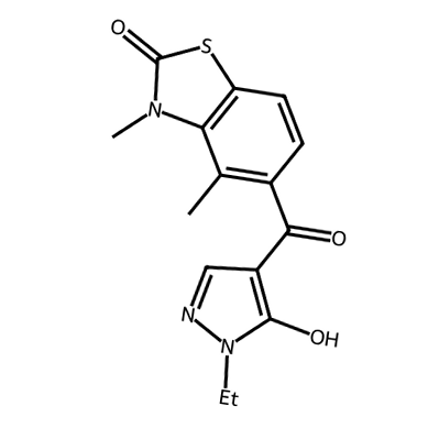 CCn1ncc(C(=O)c2ccc3sc(=O)n(C)c3c2C)c1O